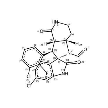 O=CN1[C@H]2CCNC(=O)[C@H]2[C@H](c2cccc(Cl)c2F)[C@]12C(=O)Nc1cc(Cl)ccc12